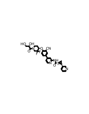 N#Cc1cc(-c2ccnc(NC(=O)[C@@H]3C[C@H]3c3cccnc3)c2)ccc1O[C@H]1CCN(C(=O)[C@@H](O)CO)CC1(F)F